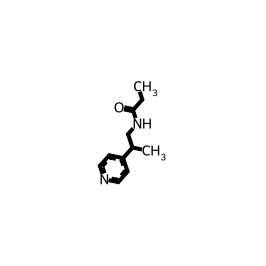 CCC(=O)NCC(C)c1ccncc1